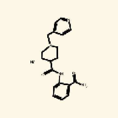 Cl.NC(=O)c1ccccc1NC(=O)C1CCN(Cc2ccncc2)CC1